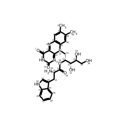 Cc1cc2nc3c(=O)[nH]c(=O)nc-3n(C[C@@H](OC(=O)[C@@H](N)Cc3c[nH]c4ccccc34)[C@@H](O)[C@@H](O)CO)c2cc1C